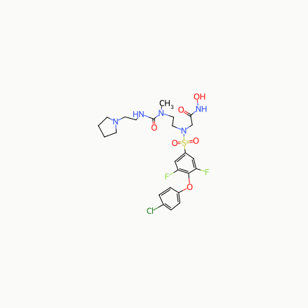 CN(CCN(CC(=O)NO)S(=O)(=O)c1cc(F)c(Oc2ccc(Cl)cc2)c(F)c1)C(=O)NCCN1CCCC1